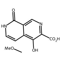 COC.O=C(O)c1ncc2c(=O)[nH]ccc2c1O